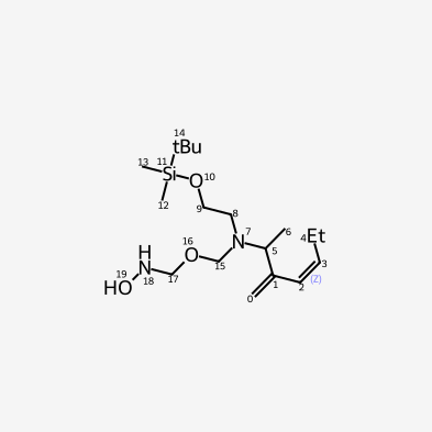 C=C(/C=C\CC)C(C)N(CCO[Si](C)(C)C(C)(C)C)COCNO